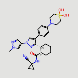 Cn1cc(-n2cc(-c3ccc(N4CCS(O)(O)CC4)cc3)c([C@@H]3CCCC[C@H]3C(=O)NC3(C#N)CC3)n2)cn1